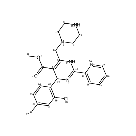 COC(=O)C1=C(CN2CCNCC2)NC(c2ccccn2)=NC1c1ccc(F)cc1Cl